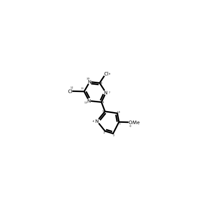 COc1ccnc(-c2nc(Cl)nc(Cl)n2)c1